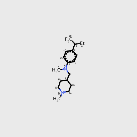 CCC(c1ccc(N(C)CC2CCN(C)CC2)cc1)C(F)(F)F